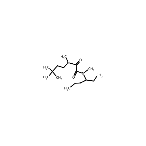 CCCC(CC)N(C)C(=O)C(=O)N(C)CCC(C)(C)C